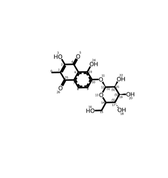 CC1=C(O)C(=O)c2c(ccc(O[C@@H]3OC(CO)[C@@H](O)[C@H](O)[C@@H]3O)c2O)C1=O